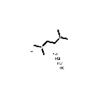 CN(C)CCN(C)C.Cl.Cl.Cl.Cl.[Ti]